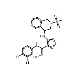 CS(=O)(=O)N1Cc2ccccc2C(Nc2nonc2/C(=N/O)Nc2ccc(F)c(Cl)c2)C1